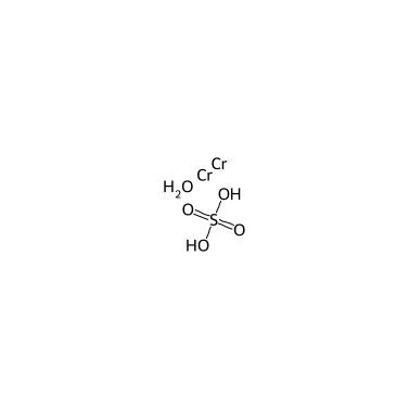 O.O=S(=O)(O)O.[Cr].[Cr]